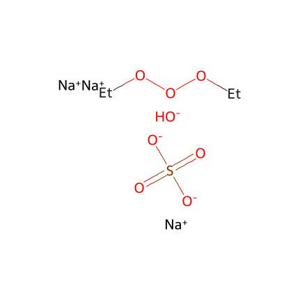 CCOOOCC.O=S(=O)([O-])[O-].[Na+].[Na+].[Na+].[OH-]